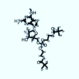 CNc1nc(N)nc2c1ncn2[C@@H]1O[C@](F)(COP(=O)(OCCSC(=O)C(C)(C)C)OCCSC(=O)C(C)(C)C)[C@@H](O)[C@@]1(C)F